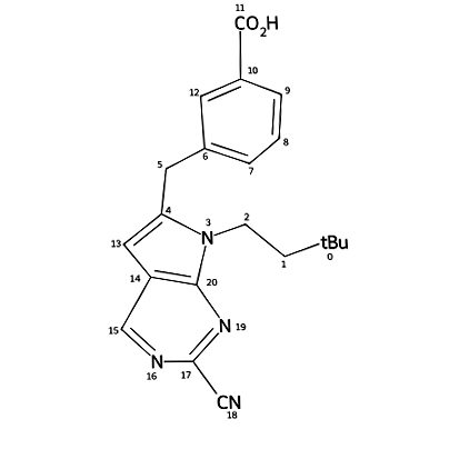 CC(C)(C)CCn1c(Cc2cccc(C(=O)O)c2)cc2cnc(C#N)nc21